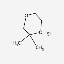 CC1(C)COCCO1.[Si]